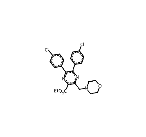 CCOC(=O)c1nc(-c2ccc(Cl)cc2)c(-c2ccc(Cl)cc2)nc1CN1CCOCC1